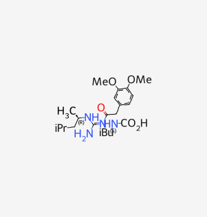 CC[C@H](C)NC(=O)O.COc1ccc(CC(=O)N=C(N)N[C@H](C)CC(C)C)cc1OC